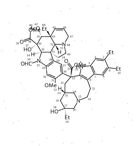 CCc1cc2[nH]c3c(c2cc1CC)CCN1C[C@H](C[C@@](O)(CC)C1)C[C@]3(C(=O)OC)c1cc2c(cc1OC)N(C=O)[C@H]1[C@@](O)(C(=O)OC)[C@H](OC(C)=O)[C@]3(CC)C=CCN4CC[C@]21[C@@H]43